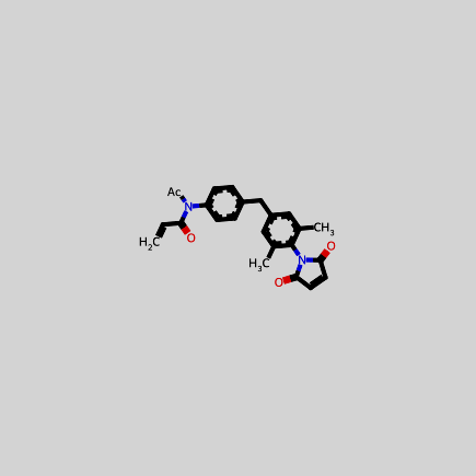 C=CC(=O)N(C(C)=O)c1ccc(Cc2cc(C)c(N3C(=O)C=CC3=O)c(C)c2)cc1